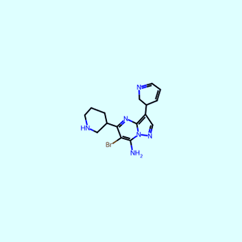 Nc1c(Br)c(C2CCCNC2)nc2c(C3C=CC=NC3)cnn12